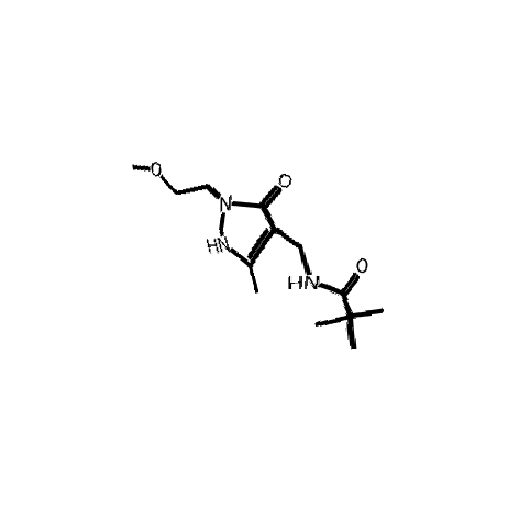 COCCn1[nH]c(C)c(CNC(=O)C(C)(C)C)c1=O